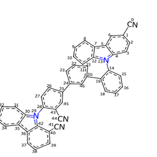 N#Cc1ccc2c(c1)c1ccccc1n2-c1ccccc1-c1cccc(-c2ccc(-n3c4ccccc4c4cccc(C#N)c43)c(C#N)c2)c1